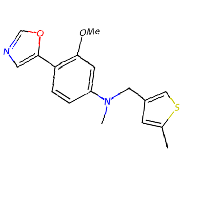 COc1cc(N(C)Cc2csc(C)c2)ccc1-c1cnco1